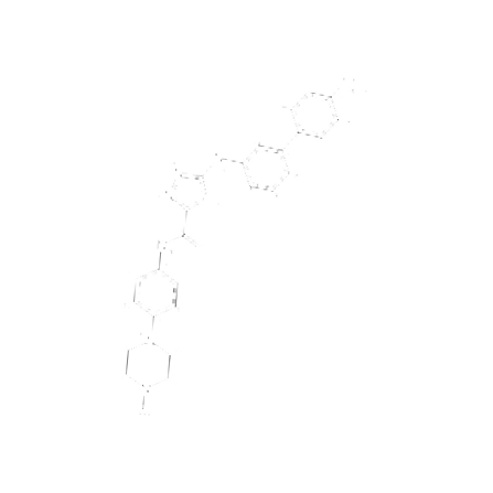 CC(=O)N1CCN(c2ccc(NC(=O)c3nnc(Nc4cccc(-c5ccc(C(=O)O)cc5)c4)o3)cc2)CC1